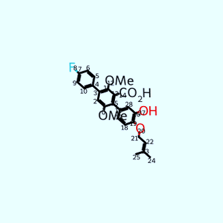 COc1cc(-c2ccc(F)cc2)c(OC)c(C(=O)O)c1-c1ccc(OCC=C(C)C)c(O)c1